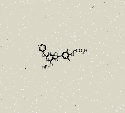 CCCOc1nc(Oc2cccnc2)nc2oc(-c3cc(C)c(OCC(=O)O)c(C)c3)nc12